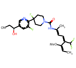 C\C=C(OC)/C(=C\C=C(/C)NC(=O)N1CCC(F)(c2ncc([C@@H](O)CN=O)cc2F)CC1)C(F)F